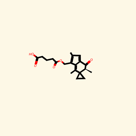 CC1=C(COC(=O)CCCC(=O)O)C2=C(C)C3(CC3)[C@H](C)C(=O)C2=C1